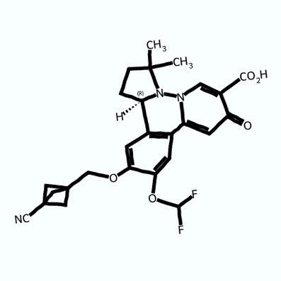 CC1(C)CC[C@@H]2c3cc(OCC45CC(C#N)(C4)C5)c(OC(F)F)cc3-c3cc(=O)c(C(=O)O)cn3N21